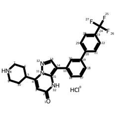 Cl.O=c1cc(C2CCNCC2)n2ncc(-c3cccc(-c4ccc(C(F)(F)F)cc4)c3)c2[nH]1